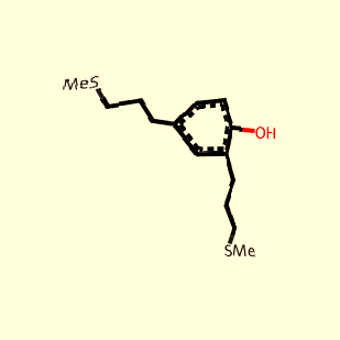 CSCCCc1ccc(O)c(CCCSC)c1